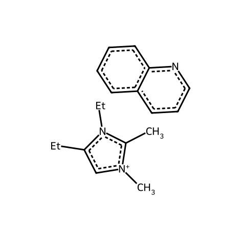 CCc1c[n+](C)c(C)n1CC.c1ccc2ncccc2c1